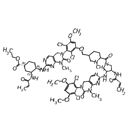 C=CC(=O)NC1CN(C(=O)C2CCC(COc3cc(OC)c(Cl)c(N4Cc5cnc(N[C@@H]6CC[C@@H](C(=O)OCC)C[C@@H]6NC(=O)C=C)nc5N(C)C4=O)c3Cl)CN2C)CC1Nc1ncc2c(n1)N(C)C(=O)N(c1c(Cl)c(OC)cc(OC)c1Cl)C2